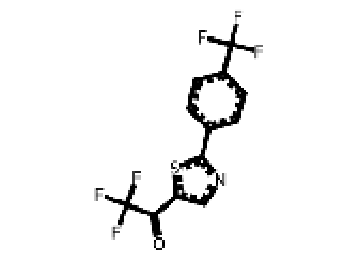 O=C(c1cnc(-c2ccc(C(F)(F)F)cc2)s1)C(F)(F)F